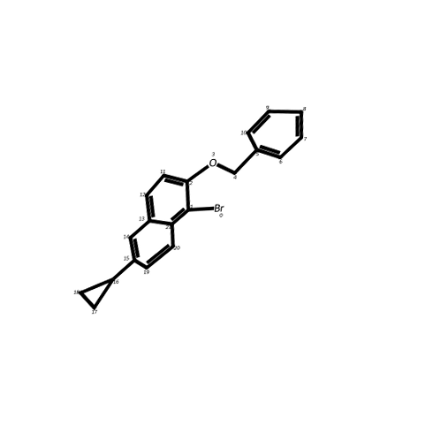 Brc1c(OCc2ccccc2)ccc2cc(C3CC3)ccc12